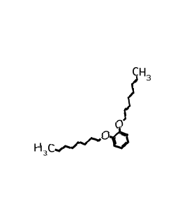 CCCCCCCCOc1ccccc1OCCCCCCCC